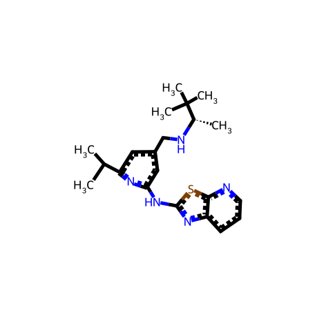 CC(C)c1cc(CN[C@@H](C)C(C)(C)C)cc(Nc2nc3cccnc3s2)n1